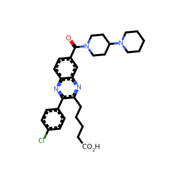 O=C(O)CCCCc1nc2cc(C(=O)N3CCC(N4CCCCC4)CC3)ccc2nc1-c1ccc(Cl)cc1